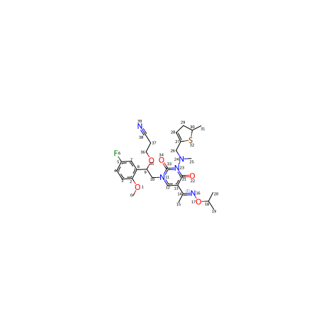 COc1ccc(F)cc1C(Cn1cc(/C(C)=N/OC(C)C)c(=O)n(N(C)CC2=CCC(C)S2)c1=O)OCCC#N